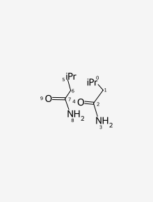 CC(C)CC(N)=O.CC(C)CC(N)=O